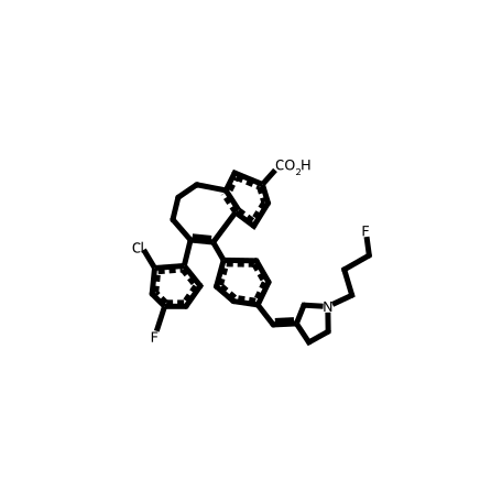 O=C(O)c1ccc2c(c1)CCCC(c1ccc(F)cc1Cl)=C2c1ccc(C=C2CCN(CCCF)C2)cc1